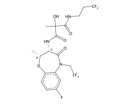 C[C@H]1Oc2ccc(F)cc2N(CC(F)(F)F)C(=O)[C@H]1NC(=O)C(C)(O)C(=O)NCCC(F)(F)F